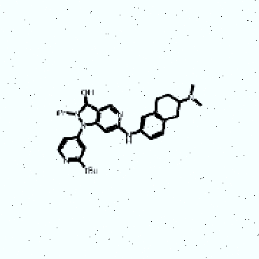 CC(C)N1C(O)c2cnc(Nc3ccc4c(c3)CCC(N(C)C)C4)cc2N1c1ccnc(C(C)(C)C)c1